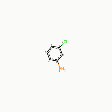 Pc1cccc(Cl)c1